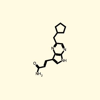 NC(=O)C=Cc1c[nH]c2ncc(CC3CCCC3)nc12